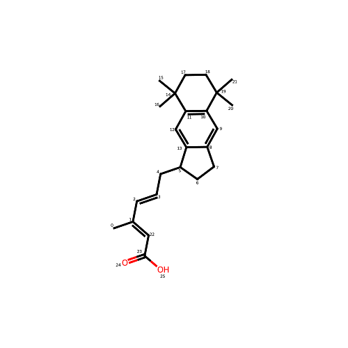 CC(C=CCC1CCc2cc3c(cc21)C(C)(C)CCC3(C)C)=CC(=O)O